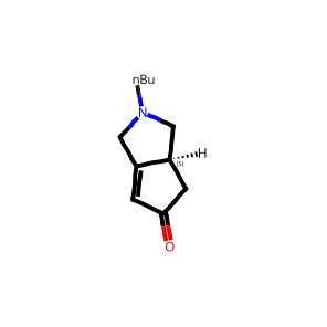 CCCCN1CC2=CC(=O)C[C@@H]2C1